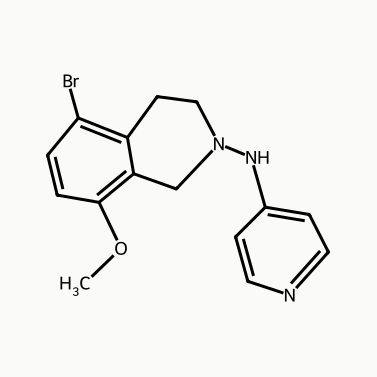 COc1ccc(Br)c2c1CN(Nc1ccncc1)CC2